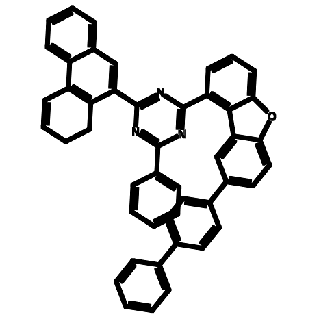 C1=Cc2c(c(-c3nc(-c4ccccc4)nc(-c4cccc5oc6ccc(-c7ccc(-c8ccccc8)cc7)cc6c45)n3)cc3ccccc23)CC1